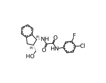 O=C(Nc1ccc(Cl)c(F)c1)C(=O)N[C@H]1c2ccccc2C[C@H]1CO